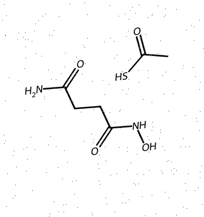 CC(=O)S.NC(=O)CCC(=O)NO